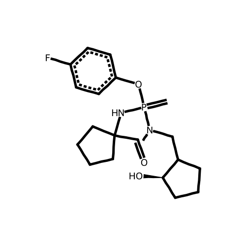 C=P(NC1(C=O)CCCC1)(Oc1ccc(F)cc1)N(C)CC1CCC[C@H]1O